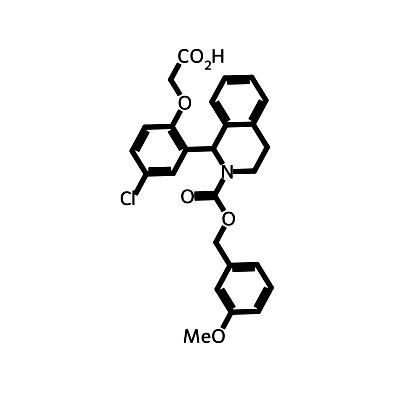 COc1cccc(COC(=O)N2CCc3ccccc3C2c2cc(Cl)ccc2OCC(=O)O)c1